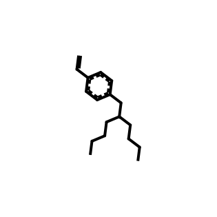 C=Cc1ccc(C[C](CCCC)CCCC)cc1